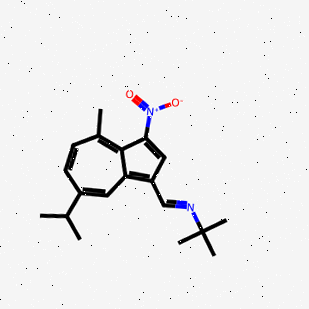 Cc1ccc(C(C)C)cc2c(C=NC(C)(C)C)cc([N+](=O)[O-])c1-2